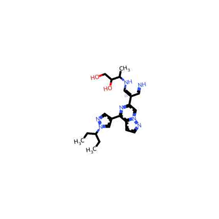 CCC(CC)n1cc(-c2nc(/C(C=N)=C/NC(C)C(O)CO)cn3nccc23)cn1